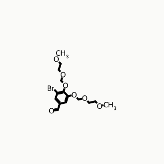 COCCOCOc1cc(C=O)cc(Br)c1OCOCCOC